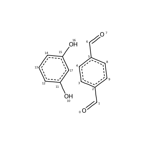 O=Cc1ccc(C=O)cc1.Oc1cccc(O)c1